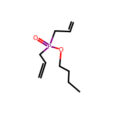 C=CCP(=O)(CC=C)OCCCC